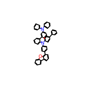 c1ccc(-c2ccc(N(c3ccc(-c4cccc5c4oc4ccccc45)cc3)c3ccccc3-c3cccc(N(c4ccccc4)c4ccccc4)c3)cc2)cc1